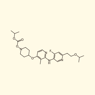 Cc1c(OC2CCN(OC(=O)OC(C)C)CC2)ccnc1Nc1cnc(CCOC(C)C)cc1F